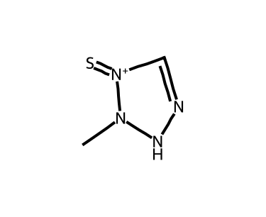 Cn1[nH]nc[n+]1=S